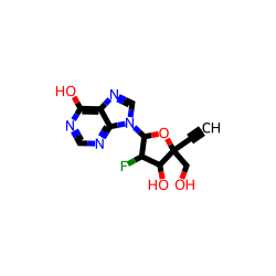 C#CC1(CO)OC(n2cnc3c(O)ncnc32)C(F)C1O